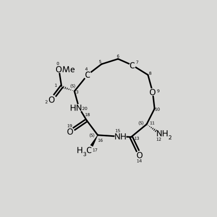 COC(=O)[C@@H]1CCCCCOC[C@H](N)C(=O)N[C@@H](C)C(=O)N1